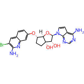 Nc1nc2cc(O[C@H]3CC[C@@]4(O)[C@@H]3O[C@@H](n3ccc5c(N)ncnc53)[C@@H]4O)ccc2cc1Br